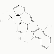 Cc1c2c(c(C)c3ccccc13)-c1c3c(cc4cccc(C(C)(C)C)c4c3cc[n+]1C)S2